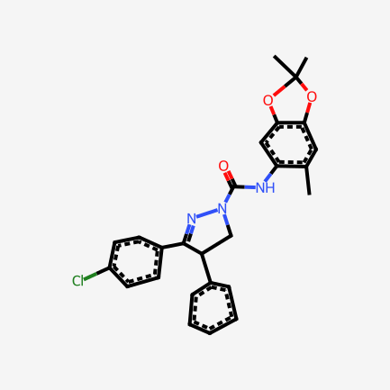 Cc1cc2c(cc1NC(=O)N1CC(c3ccccc3)C(c3ccc(Cl)cc3)=N1)OC(C)(C)O2